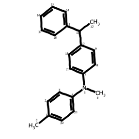 Cc1ccc(N(C)c2ccc(C(C)c3ccccc3)cc2)cc1